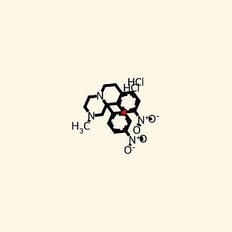 CN1CCN2CCc3ccc([N+](=O)[O-])cc3C2(c2ccc([N+](=O)[O-])cc2)C1.Cl.Cl